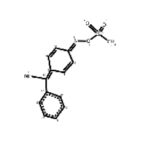 CS(=O)(=O)ON=C1C=CC(=C(C#N)c2ccccc2)C=C1